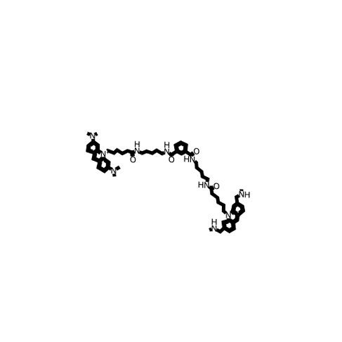 CNCc1ccc2cc3ccc(CNC)cc3[n+](CCCCCC(=O)NCCCCCNC(=O)c3cccc(C(=O)NCCCCCNC(=O)CCCCC[n+]4c5cc(N(C)C)ccc5cc5ccc(N(C)C)cc54)c3)c2c1